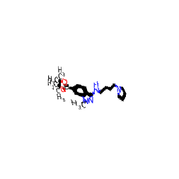 Cn1nc(NCCCCN2CCCC2)c2ccc(B3OC(C)(C)C(C)(C)O3)cc21